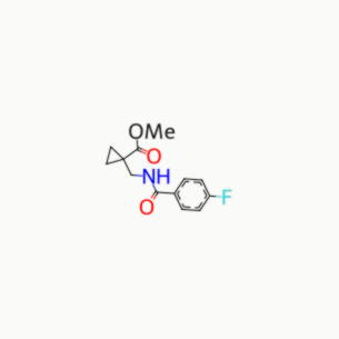 COC(=O)C1(CNC(=O)c2ccc(F)cc2)CC1